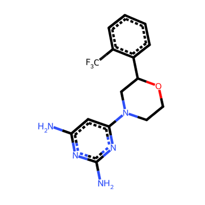 Nc1cc(N2CCOC(c3ccccc3C(F)(F)F)C2)nc(N)n1